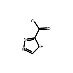 O=C(Cl)c1nnc[nH]1